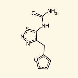 NC(=O)Nc1snnc1Cc1ccco1